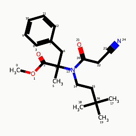 COC(=O)C(C)(Cc1ccccc1)N(CCC(C)(C)C)C(=O)CC#N